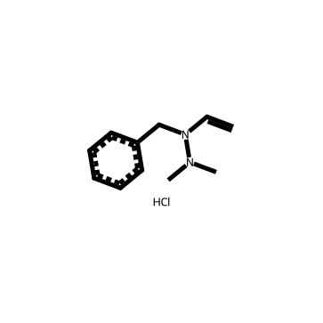 C=CN(Cc1ccccc1)N(C)C.Cl